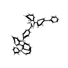 c1ccc(-c2ccc(-c3nc(-c4ccc(-n5c6ccccc6c6c7c(ccc65)ccn7-c5ccccc5)cc4)nc4ccccc34)cc2)cc1